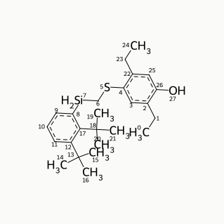 CCc1cc(SC[SiH2]c2cccc(C(C)(C)C)c2C(C)(C)C)c(CC)cc1O